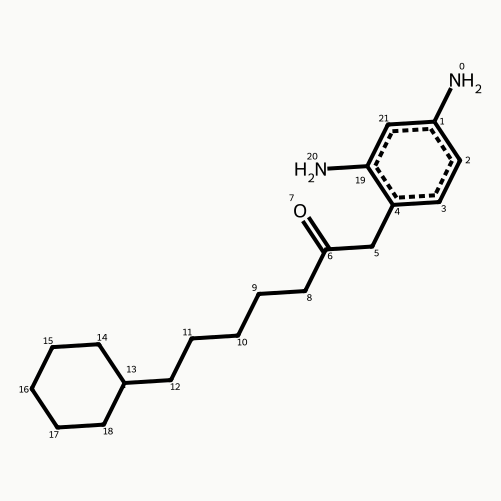 Nc1ccc(CC(=O)CCCCC[C]2CCCCC2)c(N)c1